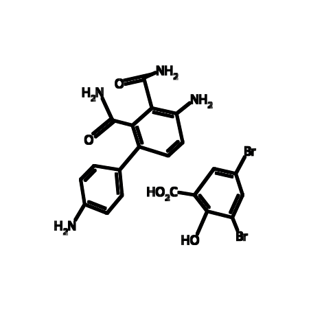 NC(=O)c1c(N)ccc(-c2ccc(N)cc2)c1C(N)=O.O=C(O)c1cc(Br)cc(Br)c1O